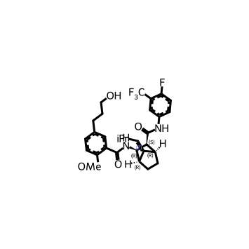 COc1ccc(CCCO)cc1C(=O)N[C@H]1[C@@H](C(=O)Nc2ccc(F)c(C(F)(F)F)c2)[C@H]2CC[C@@H]1/C2=C\C(C)C